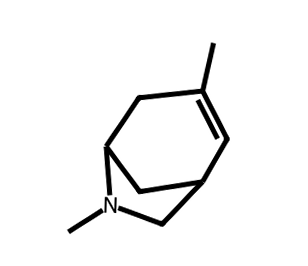 CC1=CC2CC(C1)N(C)C2